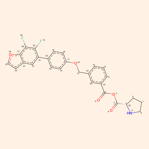 O=C(OC(=O)[C@@H]1CCCN1)c1cccc(COc2ccc(-c3cc4ccoc4c(F)c3F)cc2)c1